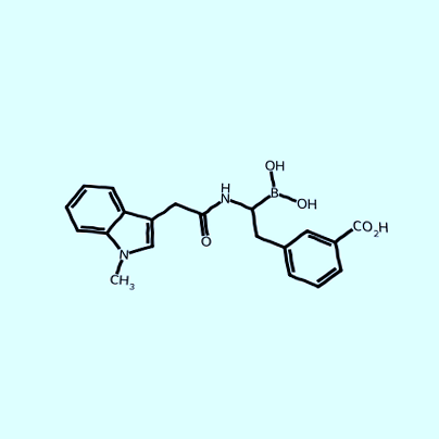 Cn1cc(CC(=O)NC(Cc2cccc(C(=O)O)c2)B(O)O)c2ccccc21